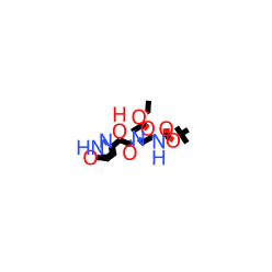 CCOC(=O)CN(CCNC(=O)OC(C)(C)C)C(=O)C(O)c1ccc(=O)[nH]n1